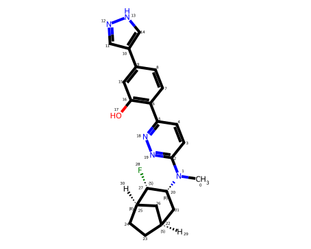 CN(c1ccc(-c2ccc(-c3cn[nH]c3)cc2O)nn1)[C@@H]1C[C@H]2CC[C@H](C2)[C@@H]1F